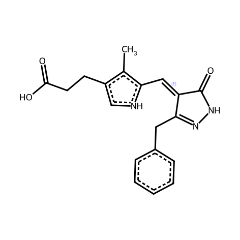 Cc1c(CCC(=O)O)c[nH]c1/C=C1/C(=O)NN=C1Cc1ccccc1